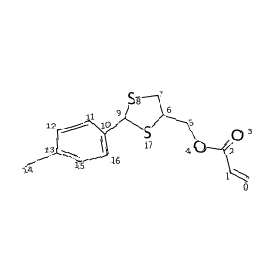 C=CC(=O)OCC1CSC(c2ccc(C)cc2)S1